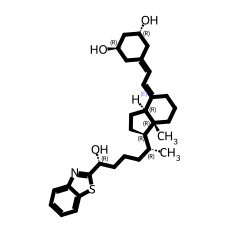 C[C@H](CCC[C@@H](O)c1nc2ccccc2s1)[C@H]1CC[C@H]2/C(=C/C=C3C[C@@H](O)C[C@H](O)C3)CCC[C@]12C